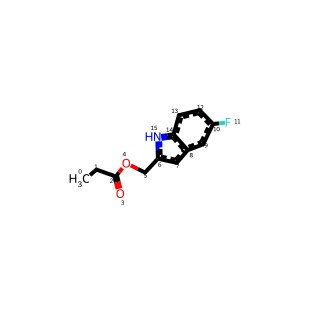 CCC(=O)OCc1cc2cc(F)ccc2[nH]1